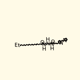 CCC=CCC=CCC=CCC=CCC=CCCCC(=O)NCCNCCNC(=O)CC=Cc1ccc(CCN2CCCC2)nc1